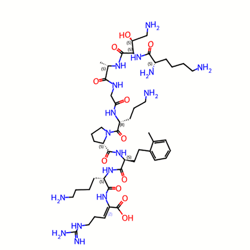 Cc1ccccc1CC[C@H](NC(=O)[C@@H]1CCCN1C(=O)[C@@H](CCCN)NC(=O)CNC(=O)[C@H](C)NC(=O)[C@@H](NC(=O)[C@@H](N)CCCCN)[C@@H](O)CN)C(=O)N[C@@H](CCCCN)C(=O)N/C(=C\CCNC(=N)N)C(=O)O